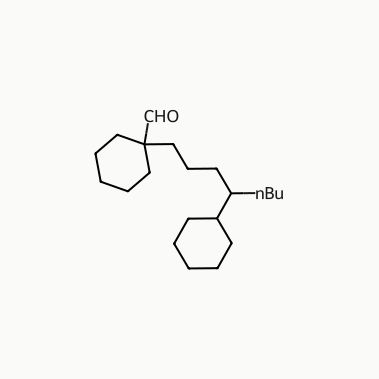 CCCCC(CCCC1(C=O)CCCCC1)C1CCCCC1